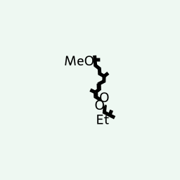 CCC(C)(C)CCOC(=O)C=C(C)C=CCC(C)CCCC(C)(C)OC